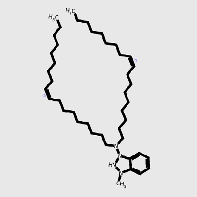 CCCCCCCC/C=C\CCCCCCCCN(CCCCCCCC/C=C\CCCCCCCC)N1NN(C)c2ccccc21